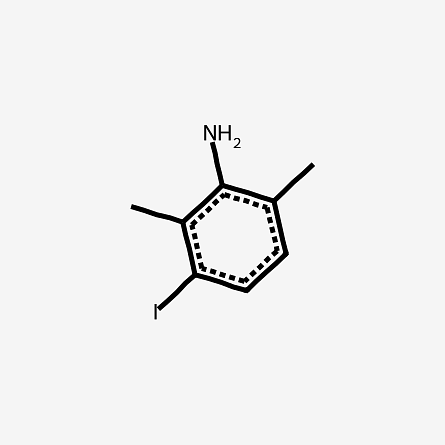 Cc1ccc(I)c(C)c1N